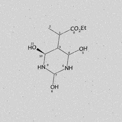 CCOC(=O)C(C)C1C(O)NC(O)N[C@H]1O